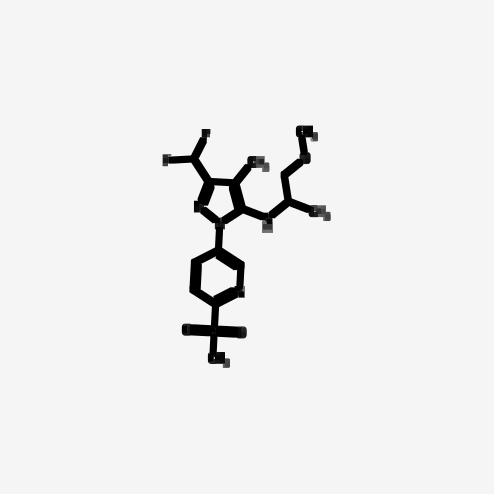 COCC(C)Nc1c(C)c(C(F)F)nn1-c1ccc(S(C)(=O)=O)nc1